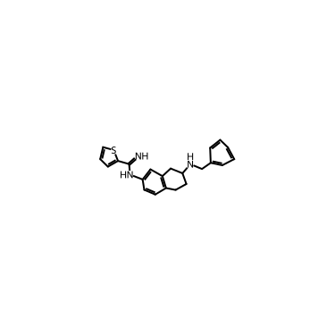 N=C(Nc1ccc2c(c1)CC(NCc1ccccc1)CC2)c1cccs1